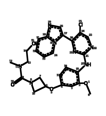 COc1cc(OC2CN(C(=O)N(C)CCO)C2)ccc1Nc1ncc(Cl)c(-c2cnc3ccccn23)n1